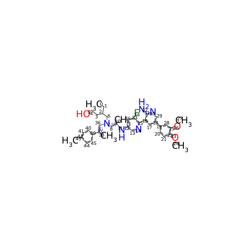 CCC(CCO)CN(/C=C(\C)Nc1cnc(-c2cc(-c3ccc(OC)c(OC)c3)cnc2N)c(F)c1)/C=C(\C)c1ccc(C)cc1